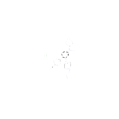 CCCCN1CCN(c2cc(N(C)C3CCOCC3)ccc2C2CCC(C(C)(C)C)CC2)CC1.Cl